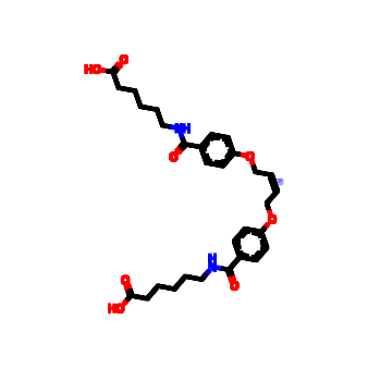 O=C(O)CCCCCNC(=O)c1ccc(OC/C=C\COc2ccc(C(=O)NCCCCCC(=O)O)cc2)cc1